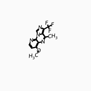 COc1ccnc2c1nc(C)c1c(C(F)(F)F)ncn12